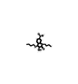 CCCCOc1c(O)c(=O)n(CCCC)c2cc([N+](=O)[O-])ccc12